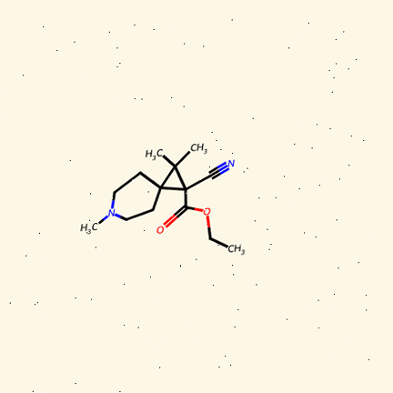 CCOC(=O)C1(C#N)C(C)(C)C12CCN(C)CC2